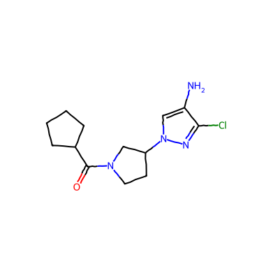 Nc1cn(C2CCN(C(=O)C3CCCC3)C2)nc1Cl